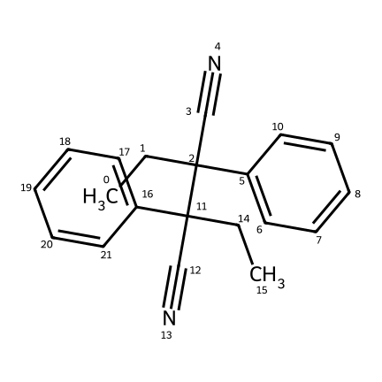 CCC(C#N)(c1ccccc1)C(C#N)(CC)c1ccccc1